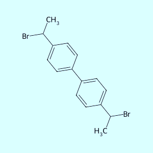 CC(Br)c1ccc(-c2ccc(C(C)Br)cc2)cc1